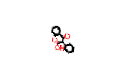 O=C(O)C(C(=O)c1ccccc1)c1ccccc1